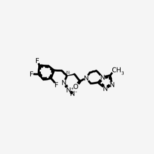 Cc1nnc2n1CCN(C(=O)C[C@H](Cc1cc(F)c(F)cc1F)N=[N+]=[N-])C2